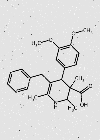 COc1ccc(C2C(Cc3ccccc3)=C(C)NC(C)C2(C)C(=O)O)cc1OC